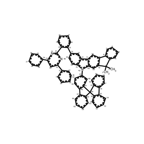 CC1(C)c2ccccc2-c2cc3c4cc(-c5ccccc5-c5nc(-c6ccccc6)cc(-c6ccccc6)n5)ccc4n(-c4ccc5c(c4)C4(c6ccccc6-c6ccccc64)c4ccccc4-5)c3cc21